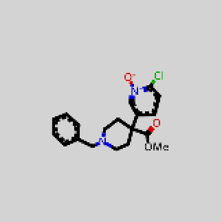 COC(=O)C1(c2ccc(Cl)[n+]([O-])c2)CCN(Cc2ccccc2)CC1